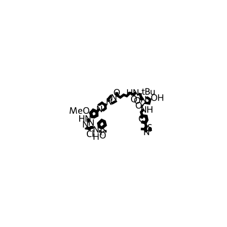 COc1cc(N2CCC(N3CCN(C(=O)CCCCC(=O)N[C@H](C(=O)N4C[C@H](O)C[C@H]4C(=O)NCc4ccc(-c5scnc5C)cc4)C(C)(C)C)CC3)CC2)ccc1Nc1ncc(Cl)c(Nc2ccccc2P(C)(C)=O)n1